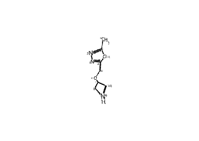 Cc1nnc(COC2CNC2)o1